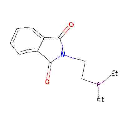 CCP(CC)CCN1C(=O)c2ccccc2C1=O